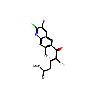 CCc1cc2cc(C(=O)C(C)CCC(CC)OC)c(C)cc2nc1Cl